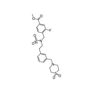 COC(=O)c1ccc(CN(CCc2cccc(CN3CCS(=O)(=O)CC3)c2)[SH](=O)=O)c(F)c1